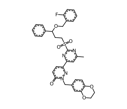 Cc1cc(-c2ccc(=O)n(Cc3ccc4c(c3)OCCO4)n2)nc(S(=O)(=O)CCC(OCc2ccccc2F)c2ccccc2)n1